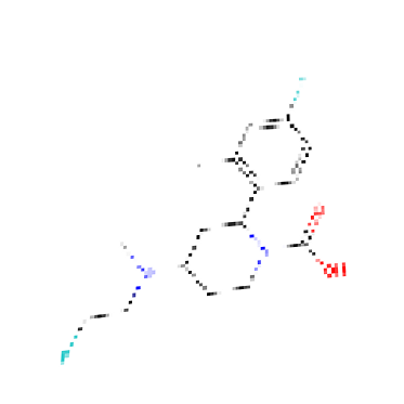 Cc1cc(F)ccc1C1CC(N(C)CCF)CCN1C(=O)O